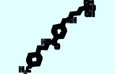 Cc1ccc(CCNC(=O)c2ccc(CNCCCP(=O)(O)O)cc2)cc1